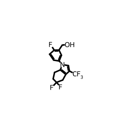 OCc1cc(-n2cc(C(F)(F)F)c3c2CCC(F)(F)C3)ccc1F